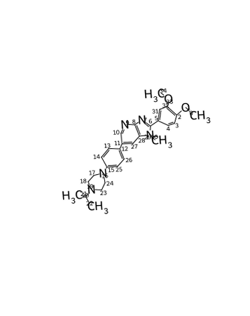 COc1ccc(-c2nc3ncc(-c4ccc(N5CCN(C(C)C)CC5)cc4)cc3n2C)cc1OC